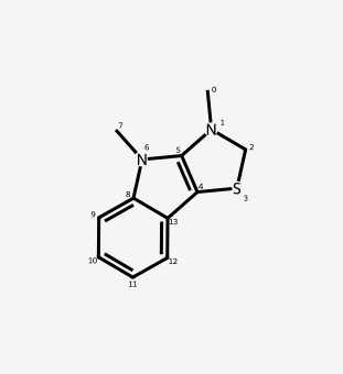 CN1CSc2c1n(C)c1ccccc21